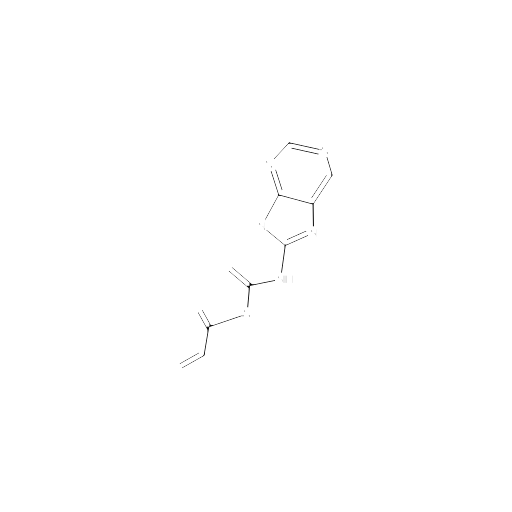 C=CC(=O)NC(=O)Nc1nc2cncnc2[nH]1